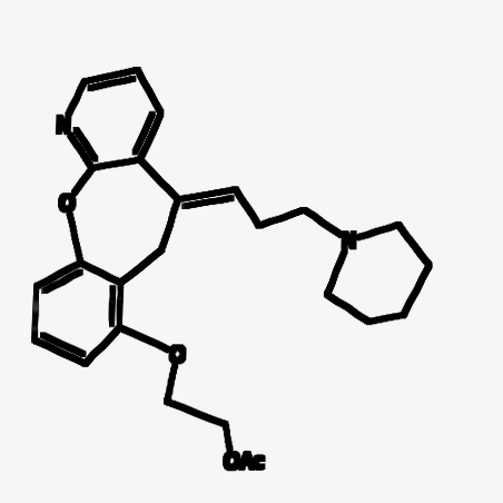 CC(=O)OCCOc1cccc2c1CC(=CCCN1CCCCC1)c1cccnc1O2